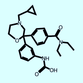 CCN(CC)C(=O)c1ccc(C2(c3cccc(NC(=O)O)c3)CN(CC3CC3)CCO2)cc1